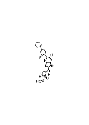 O[C@@H]1CO[C@H]2[C@@H]1OC[C@H]2Oc1nc2nc(-c3ccc(-c4ccccc4)cc3F)c(Cl)cc2[nH]1